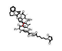 CC[C@H](C)[C@@H]([C@@H](CC(=O)N1CCC[C@H]1C(OC)[C@@H](C)C(=O)N[C@@]1(C(=O)N2CCCCO2)C[C@@H]1c1ccccc1)OC)N(C)[C@H](C(=O)NC(=O)[C@H](C(C)C)N(C)CCCC(=O)NNC(=O)CCCCCN1C(=O)C=CC1=O)C(C)C